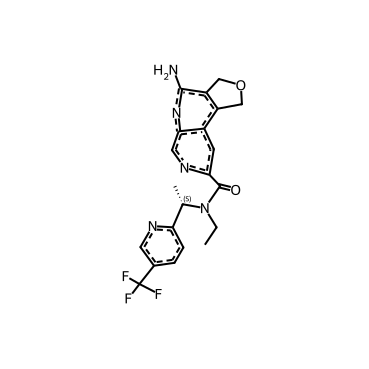 CCN(C(=O)c1cc2c3c(c(N)nc2cn1)COC3)[C@@H](C)c1ccc(C(F)(F)F)cn1